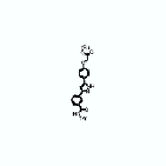 CC(C)NC(=O)c1cccc(-c2cc(-c3ccc(OCC(=O)OC(C)(C)C)cc3)[nH]n2)c1